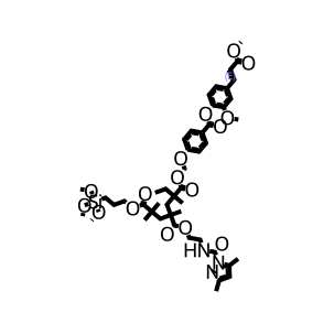 CCC(C)(CC(C)(CC(C)(C)C(=O)OCCC[Si](OC)(OC)OC)C(=O)OCCNC(=O)n1nc(C)cc1C)C(=O)OCOc1ccc(C(=O)Oc2ccc(/C=C/C(=O)OC)cc2OC)cc1